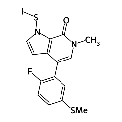 CSc1ccc(F)c(-c2cn(C)c(=O)c3c2ccn3SI)c1